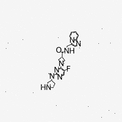 CN(c1ncc(F)c(N2CC(C(=O)NCc3cnc4ccccn34)C2)n1)C1CCNC1